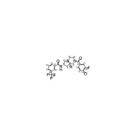 O=C(N[C@H]1C[C@H]2CN(C(=O)c3ccc(Cl)c(F)c3)CCN2C1)c1cccc(C(F)(F)F)c1